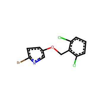 Clc1cccc(Cl)c1COc1ccc(Br)nc1